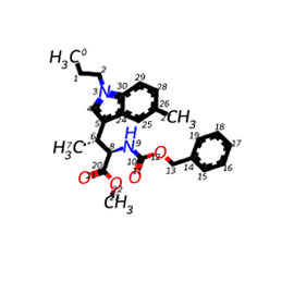 CCCn1cc([C@@H](C)[C@@H](NC(=O)OCc2ccccc2)C(=O)OC)c2cc(C)ccc21